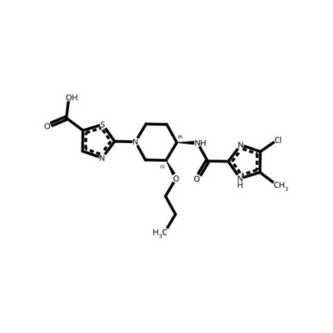 CCCO[C@H]1CN(c2ncc(C(=O)O)s2)CC[C@H]1NC(=O)c1nc(Cl)c(C)[nH]1